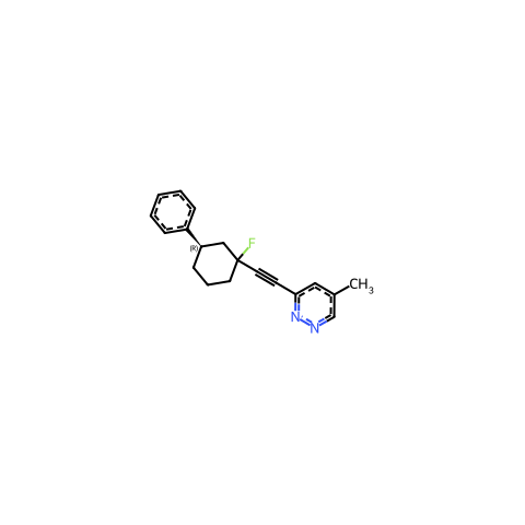 Cc1cnnc(C#CC2(F)CCC[C@@H](c3ccccc3)C2)c1